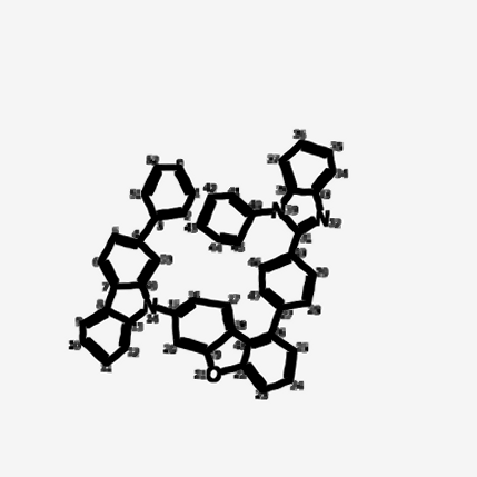 c1ccc(-c2ccc3c4ccccc4n(-c4ccc5c(c4)oc4cccc(-c6ccc(-c7nc8ccccc8n7-c7ccccc7)cc6)c45)c3c2)cc1